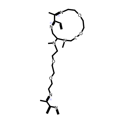 C=CC1=N\CC(N(C)CCOCCOCC/N=C(\C)C(=C)N=C)N(C)CCOCCOCC\N=C\1C